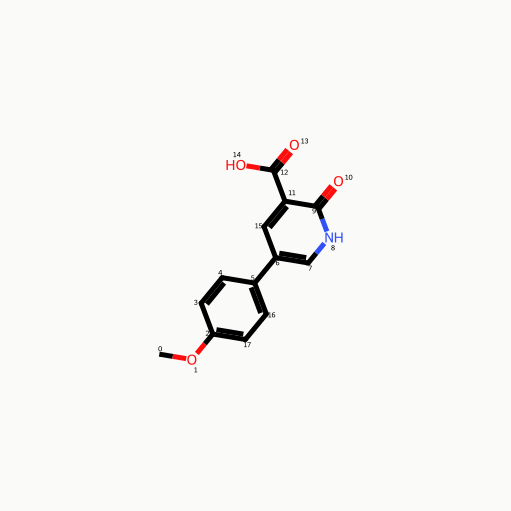 COc1ccc(-c2c[nH]c(=O)c(C(=O)O)c2)cc1